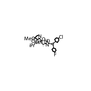 COc1ccnc(C(=O)N[C@@H](C)c2noc(C3C(c4ccc(F)cc4)C3c3ccc(Cl)cc3)n2)c1OC(=O)C(C)C